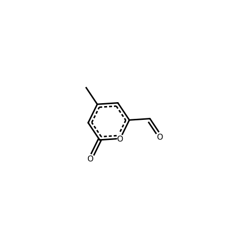 Cc1cc(C=O)oc(=O)c1